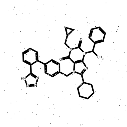 CC(c1ccccc1)n1c(=O)n(CC2CC2)c(=O)c2c1nc(C1CCCCC1)n2Cc1ccc(-c2ccccc2-c2nnn[nH]2)cc1